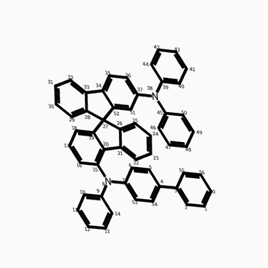 c1ccc(-c2ccc(N(c3ccccc3)c3cccc4c3-c3ccccc3C43c4ccccc4-c4ccc(N(c5ccccc5)c5ccccc5)cc43)cc2)cc1